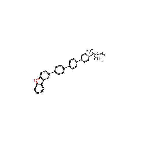 C[Si](C)(C)c1ccc(-c2ccc(-c3ccc(-c4ccc5oc6ccccc6c5c4)cc3)cc2)cc1